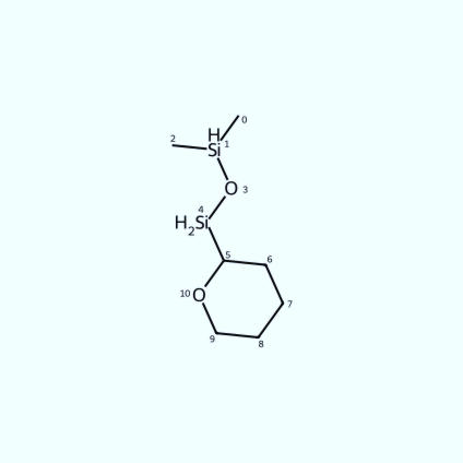 C[SiH](C)O[SiH2]C1CCCCO1